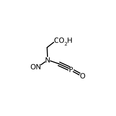 O=NN(C#P=O)CC(=O)O